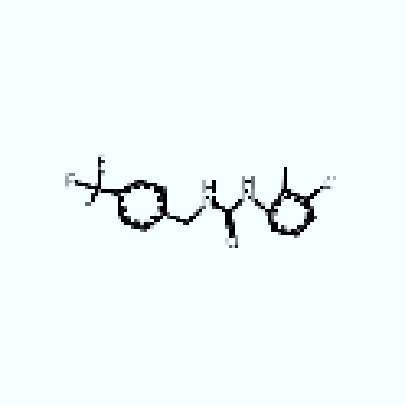 Cc1c(Cl)cccc1NC(=O)NCc1ccc(C(F)(F)F)cc1